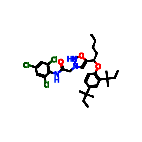 CCCCC(Oc1ccc(C(C)(C)CC)cc1C(C)(C)CC)C1=CN(CC(=O)Nc2c(Cl)cc(Cl)cc2Cl)NO1